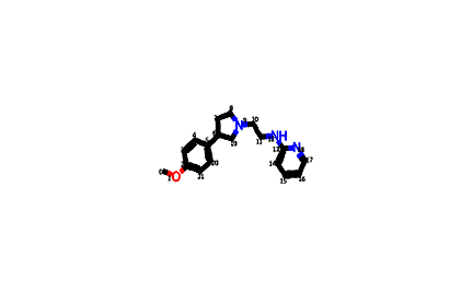 COc1ccc(C2CCN(CCNc3ccccn3)C2)cc1